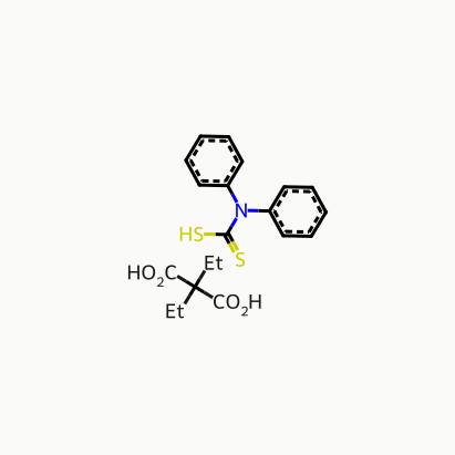 CCC(CC)(C(=O)O)C(=O)O.S=C(S)N(c1ccccc1)c1ccccc1